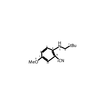 COc1ccc(NCC(C)(C)C)c(C#N)c1